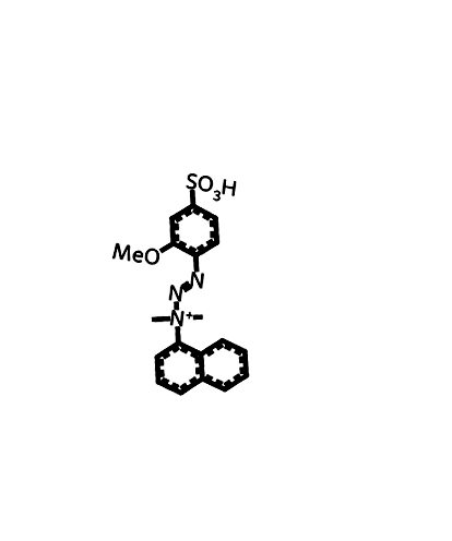 COc1cc(S(=O)(=O)O)ccc1N=N[N+](C)(C)c1cccc2ccccc12